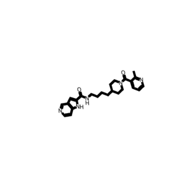 Cc1ncccc1C(=O)N1CCC(CCCCNC(=O)c2cc3cnccc3[nH]2)CC1